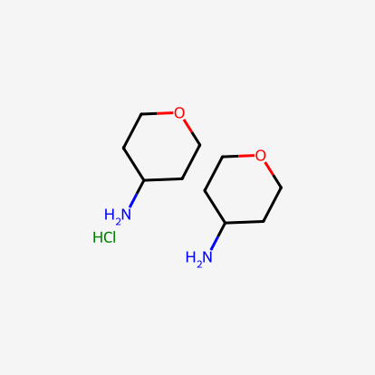 Cl.NC1CCOCC1.NC1CCOCC1